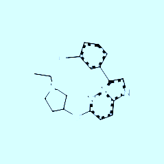 CCN1CCC(Oc2ccc3ncc(-c4cccc(Cl)c4)n3n2)C1